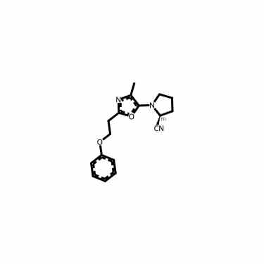 Cc1nc(CCOc2ccccc2)oc1N1CCC[C@H]1C#N